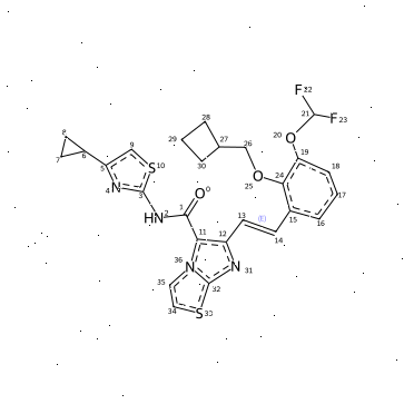 O=C(Nc1nc(C2CC2)cs1)c1c(/C=C/c2cccc(OC(F)F)c2OCC2CCC2)nc2sccn12